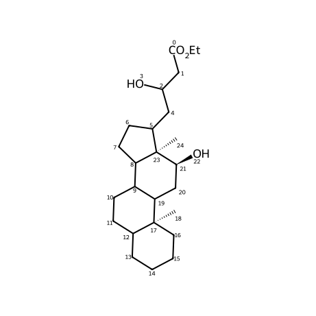 CCOC(=O)CC(O)CC1CCC2C3CCC4CCCC[C@]4(C)C3C[C@H](O)[C@]12C